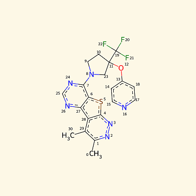 Cc1nnc2sc3c(N4CCC(Oc5ccncc5)(C(F)(F)F)C4)ncnc3c2c1C